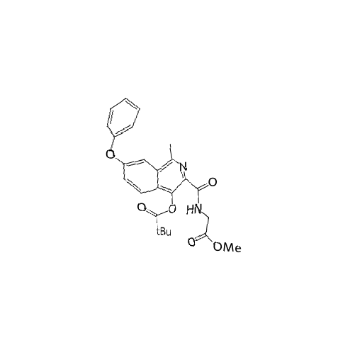 COC(=O)CNC(=O)c1nc(C)c2cc(Oc3ccccc3)ccc2c1OC(=O)C(C)(C)C